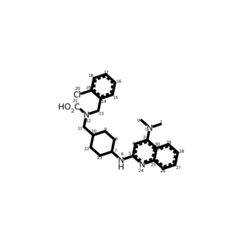 CN(C)c1cc(NC2CCC(CN(Cc3ccccc3Cl)C(=O)O)CC2)nc2ccccc12